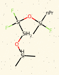 CCC[Si](C)(F)O[Si](F)(F)[SiH2]O[SiH](C)C